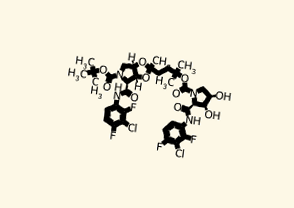 CC(C)(C)OC(=O)N1C[C@H]2OC(C)(CCC(C)(C)OC(=O)N3C[C@@H](O)[C@@H](O)[C@H]3C(=O)Nc3ccc(F)c(Cl)c3F)O[C@H]2[C@H]1C(=O)Nc1ccc(F)c(Cl)c1F